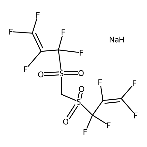 O=S(=O)(CS(=O)(=O)C(F)(F)C(F)=C(F)F)C(F)(F)C(F)=C(F)F.[NaH]